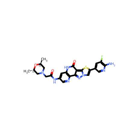 C[C@H]1CN(CC(=O)Nc2cnc3c(c2)[nH]c(=O)c2c3nn3cc(-c4cnc(N)c(F)c4)sc23)C[C@H](C)O1